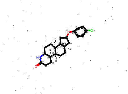 C[C@]12CC[C@@H]3[C@@H](CCC4NC(=O)CC[C@@]43C)[C@@H]1CC(Oc1ccc(Cl)cc1)C2